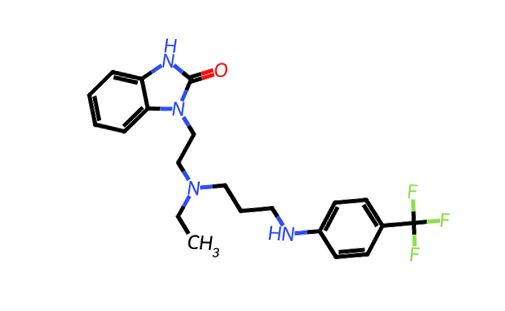 CCN(CCCNc1ccc(C(F)(F)F)cc1)CCn1c(=O)[nH]c2ccccc21